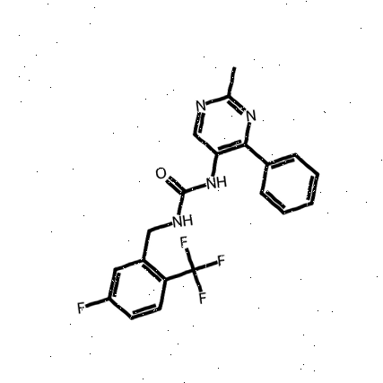 Cc1ncc(NC(=O)NCc2cc(F)ccc2C(F)(F)F)c(-c2ccccc2)n1